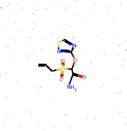 C=CCS(=O)(=O)C(Oc1ncsn1)C(N)=O